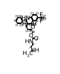 CNCCNC(=O)OC[C@H]1CC[C@@H]2[C@H](O1)c1cc(C(F)(F)F)ccc1N[C@H]2c1ccccc1